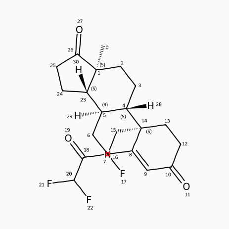 C[C@]12CC[C@H]3[C@@H](CCC4=CC(=O)CC[C@@]43CN(F)C(=O)C(F)F)[C@@H]1CCC2=O